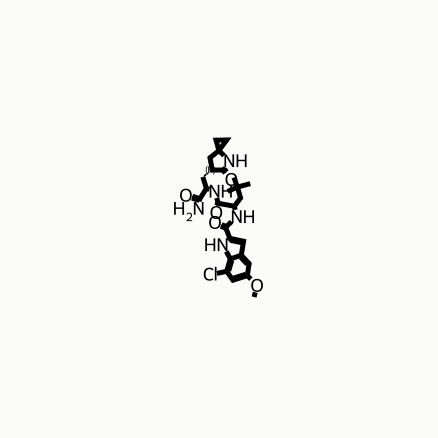 COc1cc(Cl)c2[nH]c(C(=O)NC(CC(C)(C)C)C(=O)NC(C[C@@H]3CC4(CC4)NC3=O)C(N)=O)cc2c1